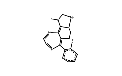 CN1CNC2CCC3=C(c4ccccc4F)N=CC=NC3=C21